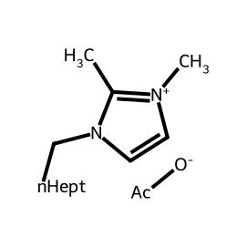 CC(=O)[O-].CCCCCCCCn1cc[n+](C)c1C